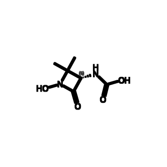 CC1(C)[C@H](NC(=O)O)C(=O)N1O